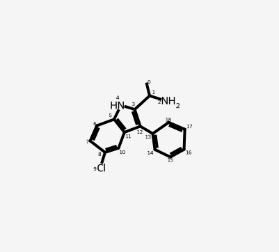 CC(N)c1[nH]c2ccc(Cl)cc2c1-c1ccccc1